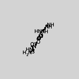 N=CNCCCNC(=N)N1CCc2cc(OCCO/N=C(\C=O)C3=CSC(N)N3)ccc2C1